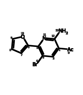 CC(=O)c1cc(Br)c(-c2ccco2)nc1N